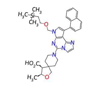 C[C@@H]1OCC2(CCN(c3nc4c(c(-c5cccc6ccccc56)cn4COCC[Si](C)(C)C)c4nccn34)CC2)[C@@H]1C(=O)O